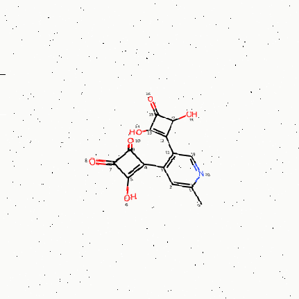 Cc1cc(-c2c(O)c(=O)c2=O)c(C2=C(O)C(=O)C2O)cn1